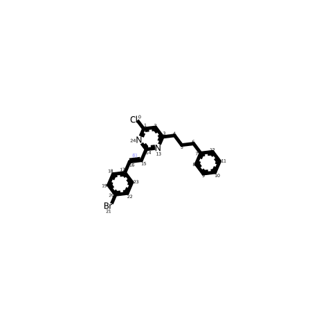 Clc1cc(CCCc2ccccc2)nc(/C=C/c2ccc(Br)cc2)n1